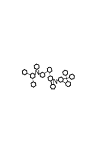 c1ccc(-c2cc(-c3ccccc3)cc(N(c3ccccc3)c3cccc(-c4ccccc4-c4ccc5c6ccccc6n(-c6ccc7c(c6)-c6ccccc6C7(c6ccccc6)c6ccccc6)c5c4)c3)c2)cc1